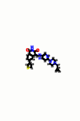 O=C1NC(=O)c2ccc(-c3ccsc3)cc2/C1=C/Nc1ccc(N2CCN(CC3CC3)CC2)nc1